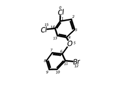 Clc1ccc(Oc2ccccc2Br)cc1Cl